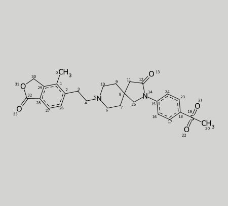 Cc1c(CCN2CCC3(CC2)CC(=O)N(c2ccc(S(C)(=O)=O)cc2)C3)ccc2c1COC2=O